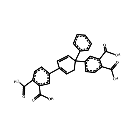 O=C(O)c1ccc(C2=CCC(c3ccccc3)(c3ccc(C(=O)O)c(C(=O)O)c3)C=C2)cc1C(=O)O